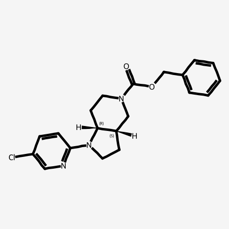 O=C(OCc1ccccc1)N1CC[C@@H]2[C@@H](CCN2c2ccc(Cl)cn2)C1